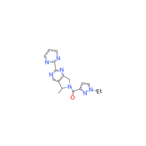 CCn1ccc(C(=O)N2Cc3nc(-c4ncccn4)ncc3C2C)n1